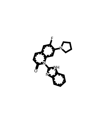 O=c1ccc2cc(F)c(N3CCCC3)cc2n1-c1nc2ccccc2[nH]1